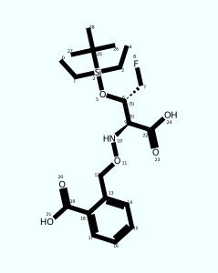 CC[Si](CC)(O[C@H](CF)[C@H](NOCc1ccccc1C(=O)O)C(=O)O)C(C)(C)C